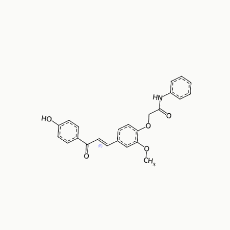 COc1cc(/C=C/C(=O)c2ccc(O)cc2)ccc1OCC(=O)Nc1ccccc1